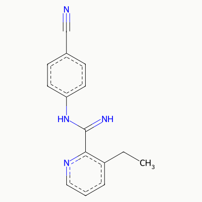 CCc1cccnc1C(=N)Nc1ccc(C#N)cc1